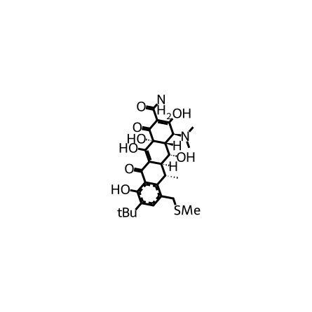 CSCc1cc(C(C)(C)C)c(O)c2c1[C@@H](C)[C@H]1C(=C(O)[C@@]3(O)C(=O)C(C(N)=O)=C(O)[C@@H](N(C)C)[C@@H]3[C@@H]1O)C2=O